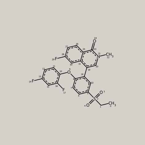 CCS(=O)(=O)c1ccc(Oc2ccc(F)cc2F)c(-c2cn(C)c(=O)c3ccc(F)cc23)c1